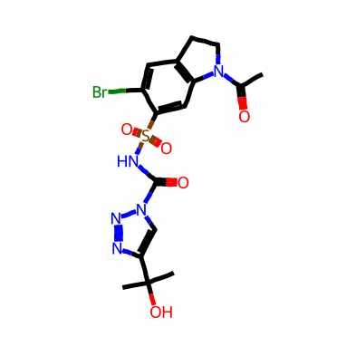 CC(=O)N1CCc2cc(Br)c(S(=O)(=O)NC(=O)n3cc(C(C)(C)O)nn3)cc21